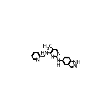 Cc1cnc(Nc2ccc3[nH]ncc3c2)nc1NCc1ccccn1